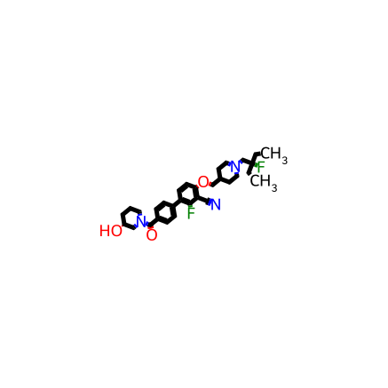 CCC(F)(CC)CN1CCC(COc2ccc(-c3ccc(C(=O)N4CCC[C@@H](O)C4)cc3)c(F)c2C#N)CC1